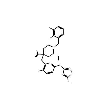 CC[C@@H]1CC(Cc2nc(Nc3cc(C)[nH]n3)ccc2F)(C(=O)O)CCN1Cc1cccc(Cl)c1F